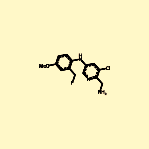 COc1ccc(Nc2cnc(CN)c(Cl)c2)c(CF)c1